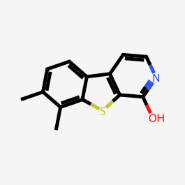 Cc1ccc2c(sc3c(O)nccc32)c1C